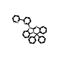 c1ccc(C2(c3ccccc3)c3ccccc3N=C3N(c4cccc(-c5ccccn5)n4)c4ccccc4N32)cc1